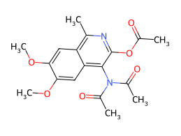 COc1cc2c(C)nc(OC(C)=O)c(N(C(C)=O)C(C)=O)c2cc1OC